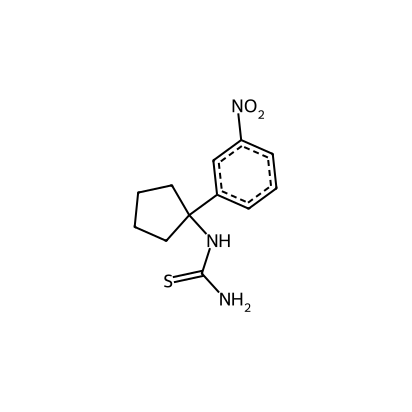 NC(=S)NC1(c2cccc([N+](=O)[O-])c2)CCCC1